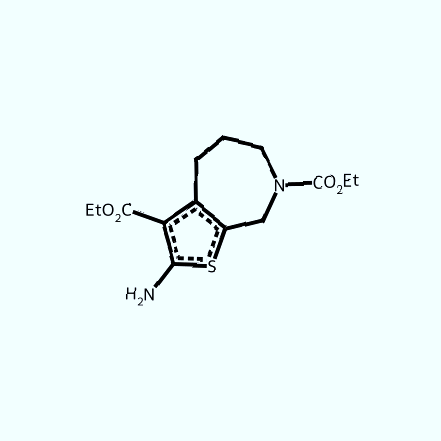 CCOC(=O)c1c(N)sc2c1CCCN(C(=O)OCC)C2